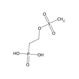 [CH2]S(=O)(=O)OCCP(=O)(O)O